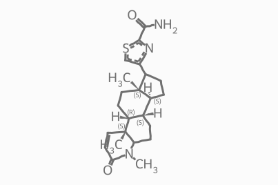 CN1C(=O)C=C[C@@]2(C)C1CC[C@@H]1[C@H]2CC[C@]2(C)C(c3csc(C(N)=O)n3)CC[C@@H]12